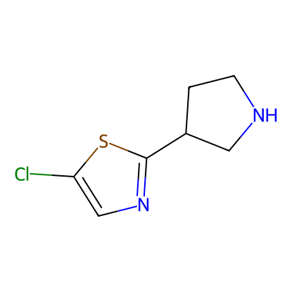 Clc1cnc(C2CCNC2)s1